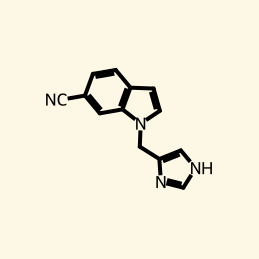 N#Cc1ccc2ccn(Cc3c[nH]cn3)c2c1